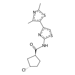 Cc1nc(C)c(-c2csc(NC(=O)[C@H]3CC[C@H](Cl)C3)n2)s1